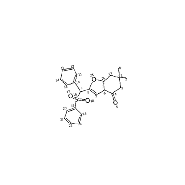 CC1(C)CC(=O)c2cc(C(c3ccccc3)S(=O)(=O)c3ccccc3)oc2C1